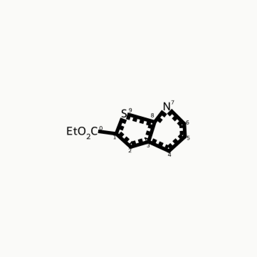 CCOC(=O)c1cc2cccnc2s1